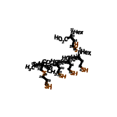 CCCCCCC(CCS)C(=O)O.CCCCCCC(CCS)C(=O)O.CCCCCCC(CCS)C(=O)O.CCCCCCC(CCS)C(=O)O.[CH3][Sn][C](CSCCS)([Sn][CH3])C(=O)O